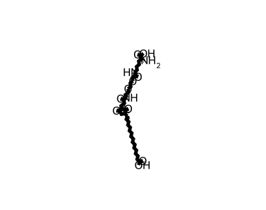 N[C@@H](CCCCNC(=O)COCCOCCNC(=O)CCN1C(=O)CC(SCCCCCCCCCCCCCCCC(=O)O)C1=O)C(=O)O